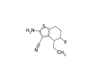 CCC1c2c(sc(N)c2C#N)CCC1F